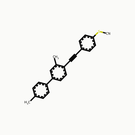 Cc1ccc(-c2ccc(C#Cc3ccc(SC#N)cc3)c(C)c2)cc1